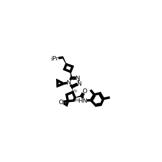 Cc1ccc(NC(=O)[C@H]2CC3(CO3)C[C@@H]2c2nnc([C@H]3C[C@@H](CC(C)C)C3)n2C2CC2)c(C)c1